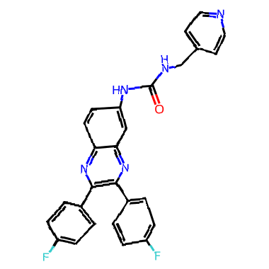 O=C(NCc1ccncc1)Nc1ccc2nc(-c3ccc(F)cc3)c(-c3ccc(F)cc3)nc2c1